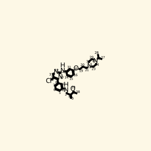 C=C(CNc1cccc(-c2nc(Nc3cccc(OCCCN4CCN(C(C)C)CC4)c3)ncc2Cl)c1)C(C)=O